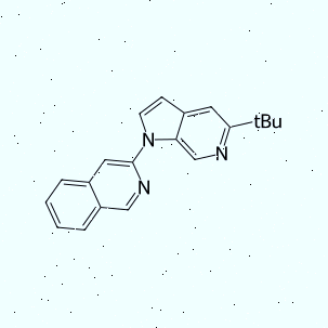 CC(C)(C)c1cc2ccn(-c3cc4ccccc4cn3)c2cn1